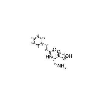 NCC(NC(=O)/C=C/c1ccccc1)C(=O)NO